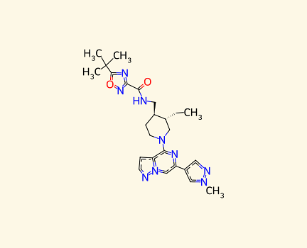 CC[C@@H]1CN(c2nc(-c3cnn(C)c3)cn3nccc23)CC[C@H]1CNC(=O)c1noc(C(C)(C)C)n1